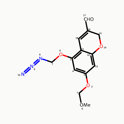 COCOc1cc(OCN=[N+]=[N-])c2c(c1)OCC(C=O)=C2